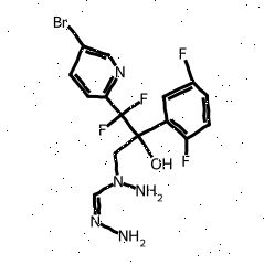 N/N=C\N(N)CC(O)(c1cc(F)ccc1F)C(F)(F)c1ccc(Br)cn1